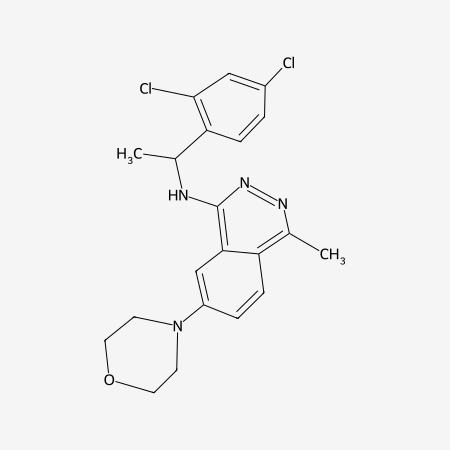 Cc1nnc(NC(C)c2ccc(Cl)cc2Cl)c2cc(N3CCOCC3)ccc12